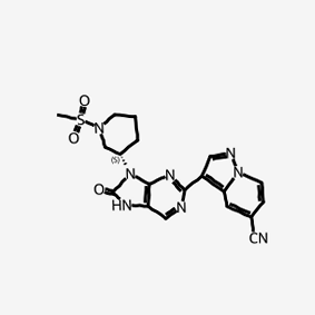 CS(=O)(=O)N1CCC[C@H](n2c(=O)[nH]c3cnc(-c4cnn5ccc(C#N)cc45)nc32)C1